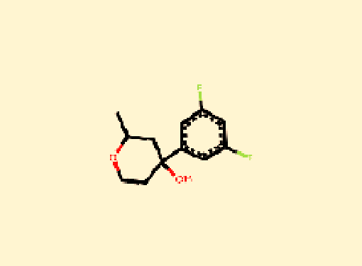 CC1CC(O)(c2cc(F)cc(F)c2)CCO1